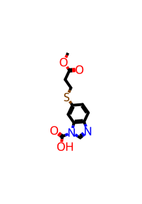 COC(=O)CCSc1ccc2ncn(C(=O)O)c2c1